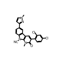 Cn1ccc(-c2ccc3c(c2)c2cc(-c4ccc(Cl)cc4Cl)c(=O)n(C)c2n3C#N)n1